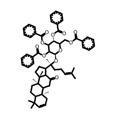 CC(C)=CCC[C@](C)(O[C@@H]1OC(COC(=O)c2ccccc2)[C@@H](OC(=O)c2ccccc2)C(OC(=O)c2ccccc2)C1OC(=O)c1ccccc1)C1CC[C@]2(C)C1C(=O)CC1[C@@]3(C)CC=CC(C)(C)C3CC[C@]12C